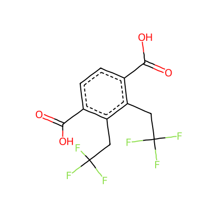 O=C(O)c1ccc(C(=O)O)c(CC(F)(F)F)c1CC(F)(F)F